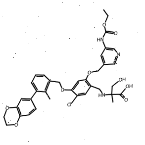 CCOC(=O)Nc1cncc(COc2cc(OCc3cccc(-c4ccc5c(c4)OCCO5)c3C)c(Cl)cc2CNC(C)(CO)C(=O)O)c1